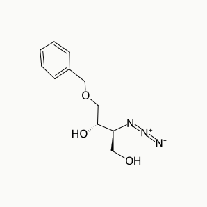 [N-]=[N+]=N[C@@H](CO)[C@H](O)COCc1ccccc1